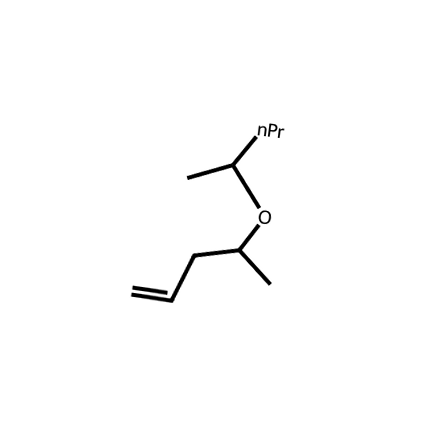 C=CCC(C)OC(C)CCC